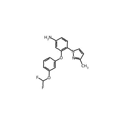 Cc1ccn(-c2ccc(N)cc2Oc2cccc(OC(F)F)c2)n1